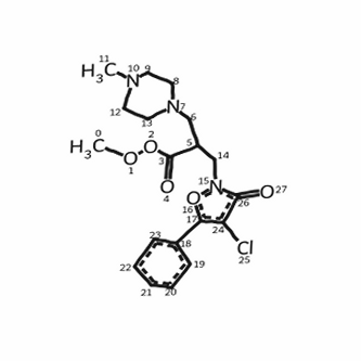 COOC(=O)C(CN1CCN(C)CC1)Cn1oc(-c2ccccc2)c(Cl)c1=O